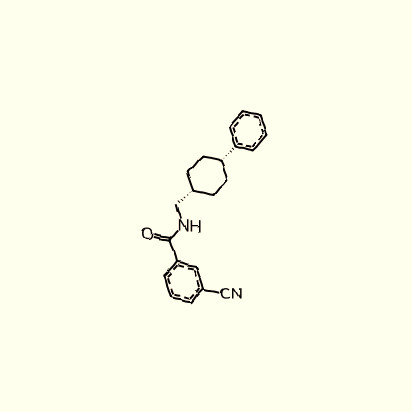 N#Cc1cccc(C(=O)NC[C@H]2CC[C@@H](c3ccccc3)CC2)c1